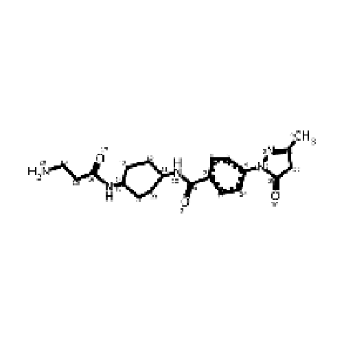 CC1=NN(c2ccc(C(=O)NC3CCC(NC(=O)CCN)CC3)cc2)C(=O)C1